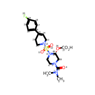 CN(C)C(=O)N1CCN(S(=O)(=O)N2CC=C(c3ccc(F)cc3)CC2)[C@H](OC(=O)O)C1